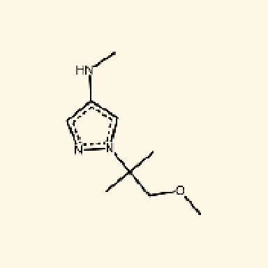 CNc1cnn(C(C)(C)COC)c1